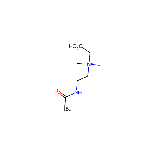 CC(C)(C)C(=O)NCC[N+](C)(C)CC(=O)O